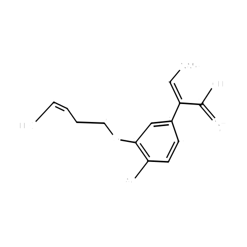 C/C=C\CCOc1cc(/C(=C/NC)C(C)=N)ccc1C(C)=O